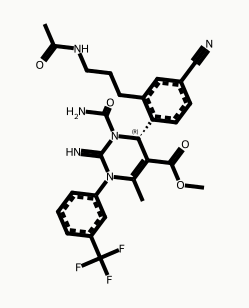 COC(=O)C1=C(C)N(c2cccc(C(F)(F)F)c2)C(=N)N(C(N)=O)[C@@H]1c1ccc(C#N)cc1CCCNC(C)=O